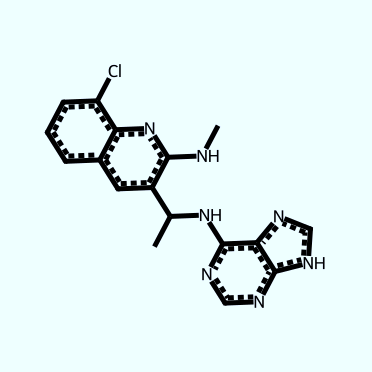 CNc1nc2c(Cl)cccc2cc1C(C)Nc1ncnc2[nH]cnc12